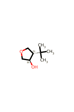 CC(C)(C)[C@H]1COC[C@@H]1O